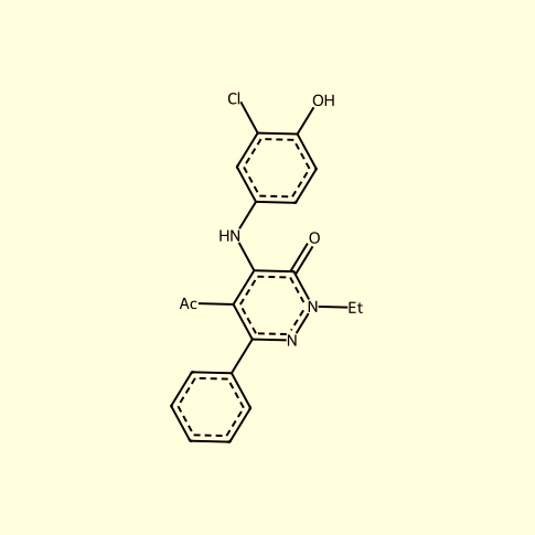 CCn1nc(-c2ccccc2)c(C(C)=O)c(Nc2ccc(O)c(Cl)c2)c1=O